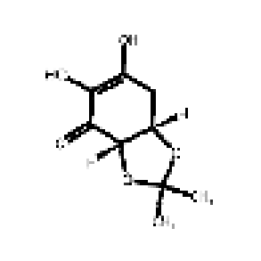 CC1(C)O[C@H]2CC(O)=C(O)C(=O)[C@H]2O1